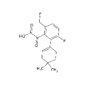 CC1(C)CC=C(c2c(F)ccc(CF)c2C(=O)C(=O)O)CC1